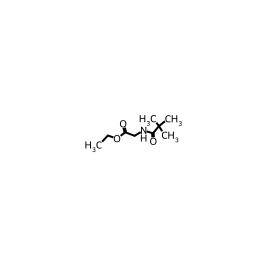 CCOC(=O)CNC(=O)C(C)(C)C